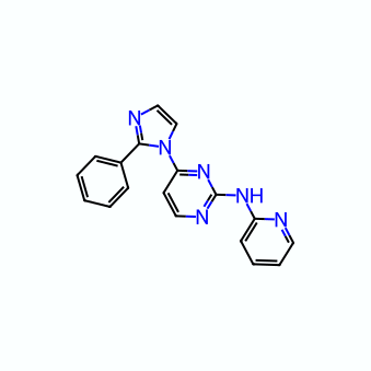 c1ccc(-c2nccn2-c2ccnc(Nc3ccccn3)n2)cc1